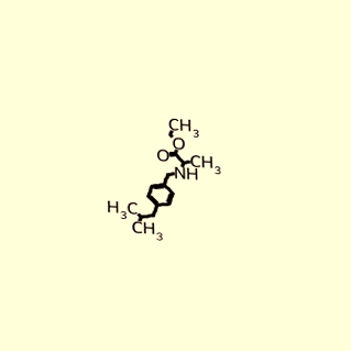 CCOC(=O)C(C)NCc1ccc(CC(C)C)cc1